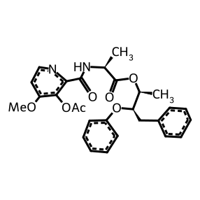 COc1ccnc(C(=O)N[C@@H](C)C(=O)O[C@@H](C)[C@@H](Cc2ccccc2)Oc2ccccc2)c1OC(C)=O